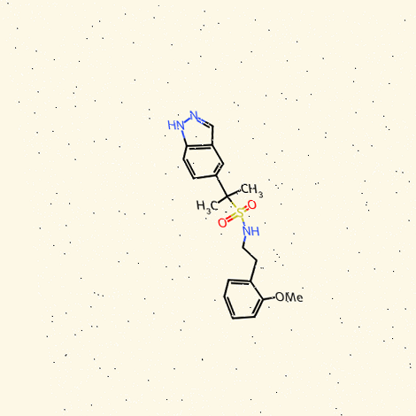 COc1ccccc1CCNS(=O)(=O)C(C)(C)c1ccc2[nH]ncc2c1